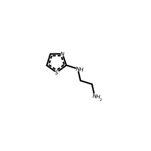 NCCNc1nccs1